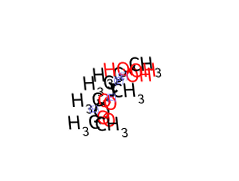 CC(=C/C=C/C(C)=C/C(O)C(O)CC(C)O)C=C(C)/C=C/C(=O)OC1CCCC(=O)OC(C(C)C)C/C=C/CC1C